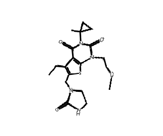 CCc1c(CN2CCNC2=O)sc2c1c(=O)n(C1(C)CC1)c(=O)n2CCOC